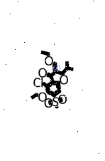 CCO/C=C(\C(=O)c1ccc(S(C)(=O)=O)c(OCC)c1Cl)C(=O)C(C)C